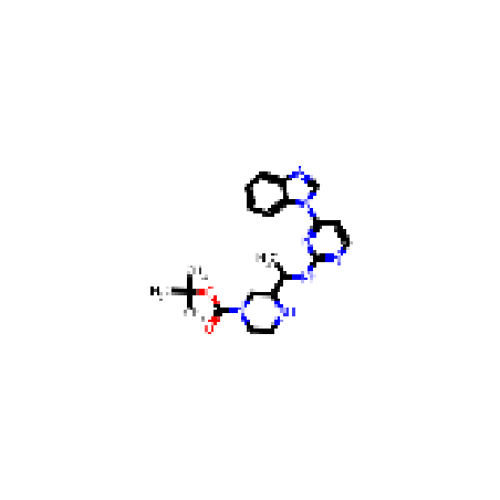 CC(Nc1nccc(-n2cnc3ccccc32)n1)C1CN(C(=O)OC(C)(C)C)CCN1